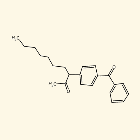 CCCCCCCC(C(C)=O)c1ccc(C(=O)c2ccccc2)cc1